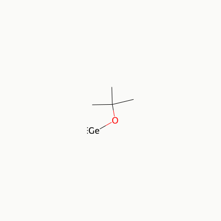 CC(C)(C)[O][Ge]